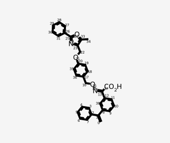 C=C(c1ccccc1)c1cccc(C(=NOCc2ccc(OCc3nc(-c4ccccc4)oc3C)cc2)C(=O)O)c1